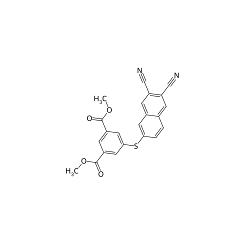 COC(=O)c1cc(Sc2ccc3cc(C#N)c(C#N)cc3c2)cc(C(=O)OC)c1